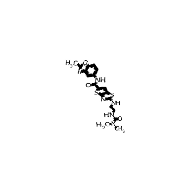 Cc1nc2cc(NC(=O)c3cc4sc(NCCNC(=O)N(C)C)nc4s3)ccc2o1